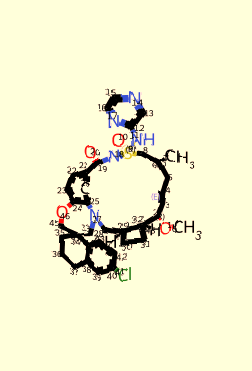 CO[C@H]1/C=C/C[C@H](C)C[S@@](=O)(Nc2cnccn2)=NC(=O)c2ccc3c(c2)N(C[C@@H]2CC[C@H]21)C[C@@]1(CCCc2cc(Cl)ccc21)CO3